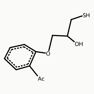 CC(=O)c1ccccc1OCC(O)CS